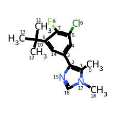 Cc1c(-c2cc(Cl)c(F)c(C(C)(C)C)c2)ncn1C